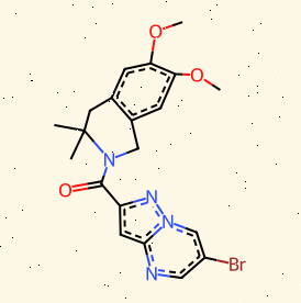 COc1cc2c(cc1OC)CC(C)(C)N(C(=O)c1cc3ncc(Br)cn3n1)C2